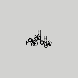 CCC(=O)C(=O)Nc1cccc(-c2c[nH]c3ncc(N(C(=O)OC)c4cccc(F)c4)cc23)c1